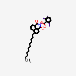 CCCCCCCCCCCCc1ccc2c3c(cccc13)C(=O)N(OC(=O)c1c(I)ccc(I)c1I)C2=O